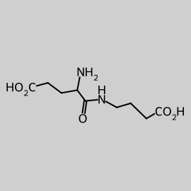 NC(CCC(=O)O)C(=O)NCCCC(=O)O